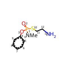 CNP(=O)(Oc1ccccc1)SCCN